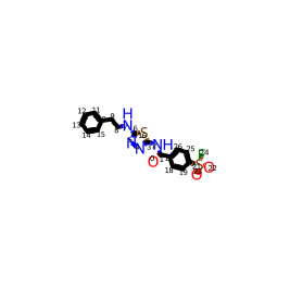 O=C(Nc1nnc(NCCc2ccccc2)s1)c1ccc(S(=O)(=O)F)cc1